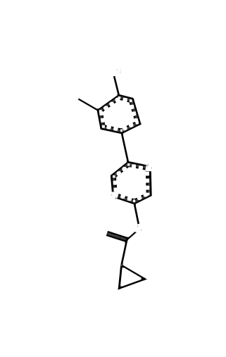 N#Cc1ccc(-c2cnc(NC(=O)C3CC3)cn2)cc1F